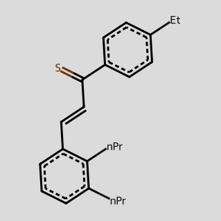 CCCc1cccc(C=CC(=S)c2ccc(CC)cc2)c1CCC